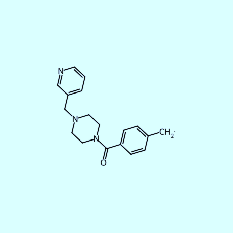 [CH2]c1ccc(C(=O)N2CCN(Cc3cccnc3)CC2)cc1